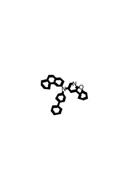 c1ccc(-c2ccc(N(c3ccc4ccc5ccccc5c4c3)c3cnc4oc5ccccc5c4c3)cc2)cc1